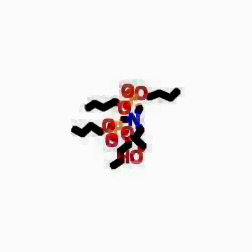 CCCCOP(=O)(CN(CCCO)CP(=O)(OCCCC)OCCCC)OCCCC